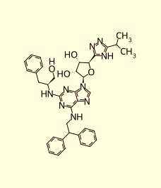 CC(C)c1nnc([C@H]2O[C@@H](n3cnc4c(NCC(c5ccccc5)c5ccccc5)nc(N[C@H](CO)Cc5ccccc5)nc43)[C@H](O)[C@@H]2O)[nH]1